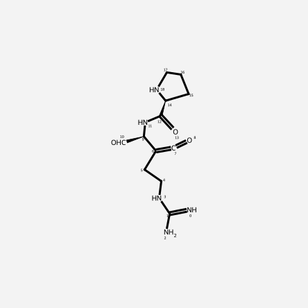 N=C(N)NCCC(=C=O)[C@@H](C=O)NC(=O)[C@@H]1CCCN1